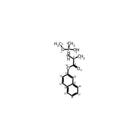 CO[PH](C)(O)N[C@@H](C)C(=O)Oc1ccc2ccccc2c1